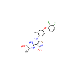 Cc1cc(Oc2cccc(F)c2F)ccc1Nc1snc(O)c1C(=N)NC(CO)C(C)C